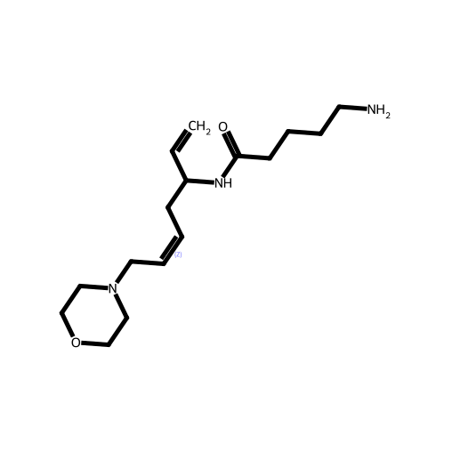 C=CC(C/C=C\CN1CCOCC1)NC(=O)CCCCN